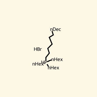 Br.CCCCCCCCCCCCCCCC[PH](CCCCCC)(CCCCCC)CCCCCC